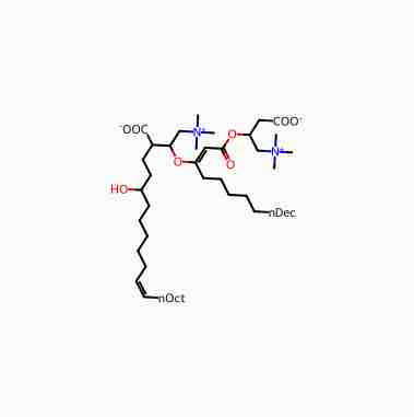 CCCCCCCC/C=C\CCCCCC(O)CCC(C(=O)[O-])C(C[N+](C)(C)C)OC(=CC(=O)OC(CC(=O)[O-])C[N+](C)(C)C)CCCCCCCCCCCCCCC